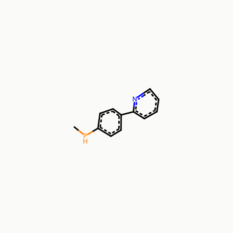 CPc1ccc(-c2ccccn2)cc1